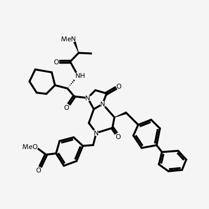 CN[C@@H](C)C(=O)N[C@H](C(=O)N1CC(=O)N2C1CN(Cc1ccc(C(=O)OC)cc1)C(=O)[C@@H]2Cc1ccc(-c2ccccc2)cc1)C1CCCCC1